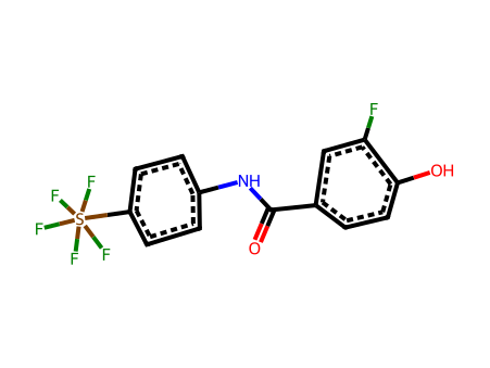 O=C(Nc1ccc(S(F)(F)(F)(F)F)cc1)c1ccc(O)c(F)c1